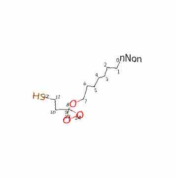 CCCCCCCCCCCCCCCCOC1(CCS)OO1